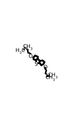 CN(C)CCCOc1ccc2c(c1)sc1cc(OCCCN(C)C)ccc12